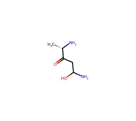 C[C@H](N)C(=O)CC(N)O